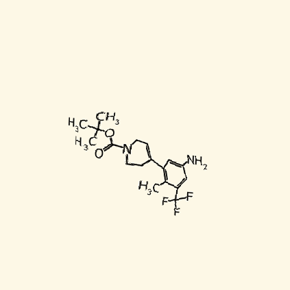 Cc1c(C2=CCN(C(=O)OC(C)(C)C)CC2)cc(N)cc1C(F)(F)F